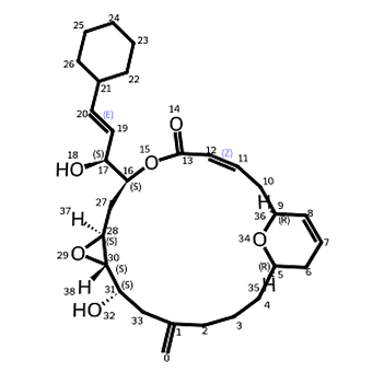 C=C1CCC[C@@H]2CC=C[C@@H](C/C=C\C(=O)O[C@H]([C@@H](O)/C=C/C3CCCCC3)C[C@@H]3O[C@H]3[C@@H](O)C1)O2